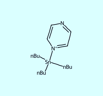 CCC[CH2][Sn]([CH2]CCC)([CH2]CCC)[n+]1ccncc1